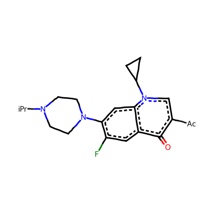 CC(=O)c1cn(C2CC2)c2cc(N3CCN(C(C)C)CC3)c(F)cc2c1=O